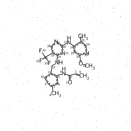 C=CC(=O)Nc1cc(C)ccc1CNc1nc(Nc2cc(OC)ncc2C)ncc1C(F)(F)F